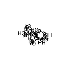 CC(C)(C)OC(=O)NCCC[C@@H](CC(=O)NCCN(C(=O)O)C(C)(C)C)NC(=O)[C@@H]1Cc2cc(ccc2O)-c2ccc(O)c(c2)C[C@H](NC(=O)OC(C)(C)C)C(=O)N[C@@H](CCCNC(=O)OC(C)(C)C)C(=O)N1